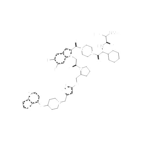 CNC(C)C(=O)N[C@H](C(=O)N1CCN(C(=O)c2cc3cc(F)c(F)cc3n2CC(=O)N2CCCC2COc2cc(CN3CCC(Oc4ccnc5ccsc45)CC3)on2)CC1)C1CCCCC1.Cl